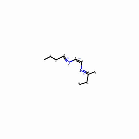 CCC/C=N/C=C\N=C(/C)CC